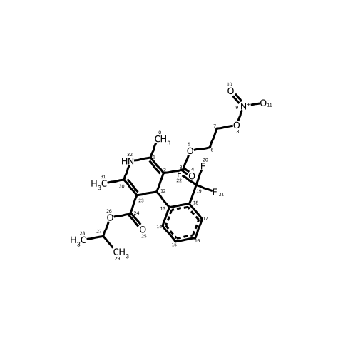 CC1=C(C(=O)OCCO[N+](=O)[O-])C(c2ccccc2C(F)(F)F)C(C(=O)OC(C)C)=C(C)N1